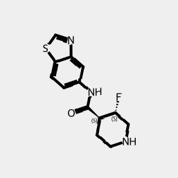 O=C(Nc1ccc2scnc2c1)[C@@H]1CCNC[C@H]1F